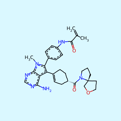 C=C(C)C(=O)Nc1ccc(-c2c(C3=CC[C@@H](C(=O)N4CCC[C@]45CCOC5)CC3)c3c(N)ncnc3n2C)cc1